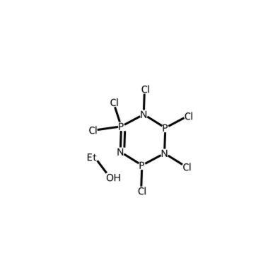 CCO.ClN1P(Cl)N=P(Cl)(Cl)N(Cl)P1Cl